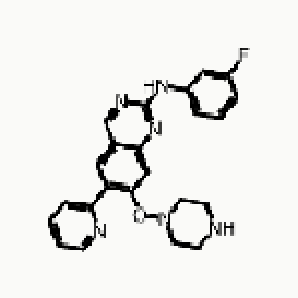 Fc1cccc(Nc2ncc3cc(-c4ccccn4)c(ON4CCNCC4)cc3n2)c1